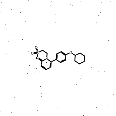 O=S1(=O)CCN2C(c3ccc(OC4CCCCC4)cc3)=CC=CC2=N1